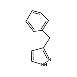 [c]1c[nH]nc1Cc1ccccc1